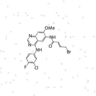 COc1cc2ncnc(Nc3ccc(F)c(Cl)c3)c2cc1NC(=O)C=CCBr